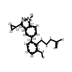 C=C(C)CCCc1c(CC)cccc1-c1ccc2c(c1)c(C1CC1)nn2C